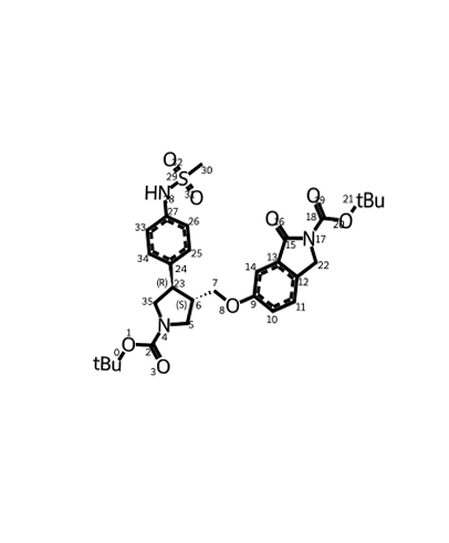 CC(C)(C)OC(=O)N1C[C@@H](COc2ccc3c(c2)C(=O)N(C(=O)OC(C)(C)C)C3)[C@H](c2ccc(NS(C)(=O)=O)cc2)C1